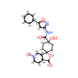 O=C1OC2(CCC(O)(C(=O)Nc3cc(-c4ccccc4)on3)CC2)c2c[n+]([O-])ccc21